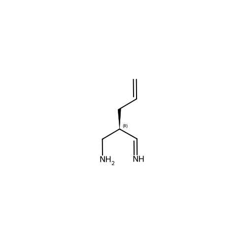 C=CC[C@@H](C=N)CN